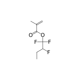 C=C(C)C(=O)OC(F)(F)C(F)CC